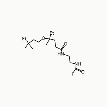 CCC(C)(C)CCOC(C)(CC)CCC(=O)NCCNC(=O)I